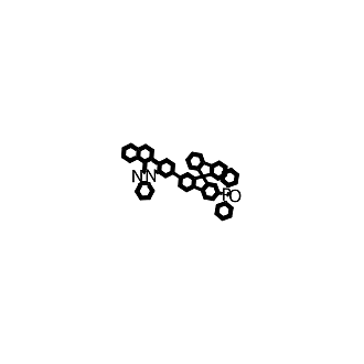 O=P(c1ccccc1)(c1ccccc1)c1ccc2c(c1)C1(c3ccccc3-c3ccccc31)c1cc(-c3ccc4c5ccc6ccccc6c5c5nc6ccccc6n5c4c3)ccc1-2